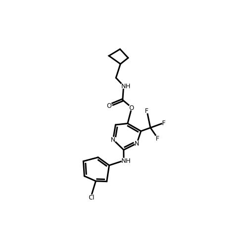 O=C(NCC1CCC1)Oc1cnc(Nc2cccc(Cl)c2)nc1C(F)(F)F